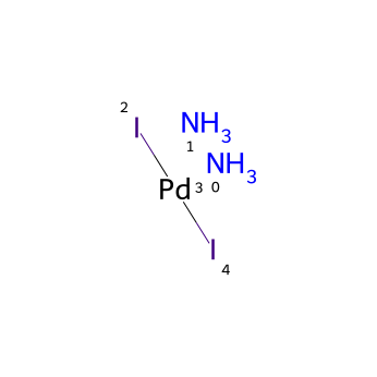 N.N.[I][Pd][I]